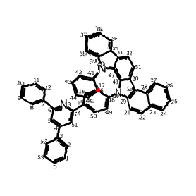 c1ccc(-c2cc(-c3ccccc3)nc(-c3ccc(-n4c5ccc6ccccc6c5c5ccc6c7ccccc7n(-c7ccccc7)c6c54)cc3)c2)cc1